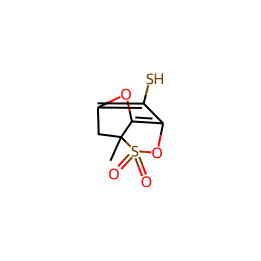 CC12Cc3oc1c(c3S)OS2(=O)=O